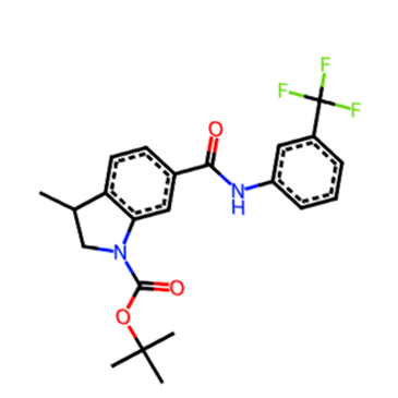 CC1CN(C(=O)OC(C)(C)C)c2cc(C(=O)Nc3cccc(C(F)(F)F)c3)ccc21